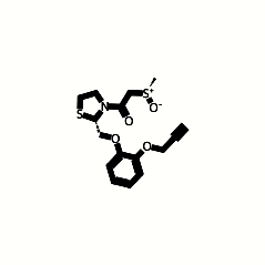 C#CCOc1ccccc1OC[C@@H]1SCCN1C(=O)C[S@+](C)[O-]